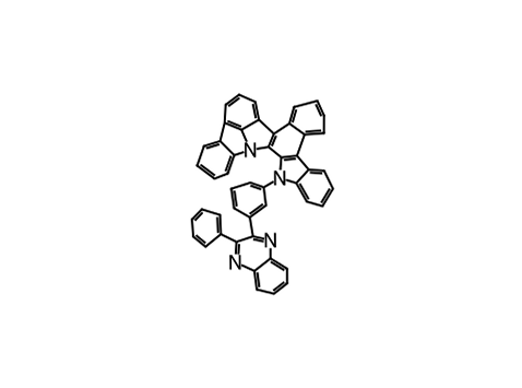 c1ccc(-c2nc3ccccc3nc2-c2cccc(-n3c4ccccc4c4c5ccccc5c5c6cccc7c8ccccc8n(c76)c5c43)c2)cc1